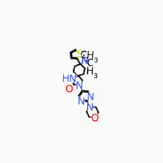 CN(C)[C@]1(c2cccs2)CC[C@@]2(CC1)CN(c1cnc(N3CCOCC3)nc1)C(=O)N2